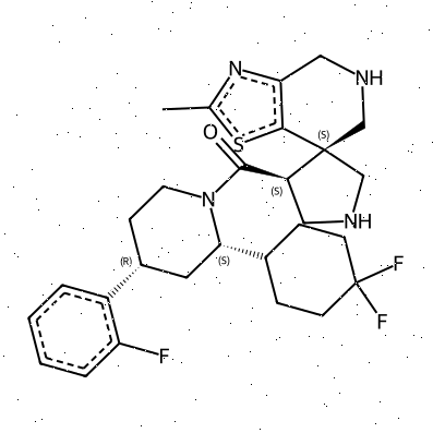 Cc1nc2c(s1)[C@]1(CNC2)CNC[C@H]1C(=O)N1CC[C@@H](c2ccccc2F)C[C@H]1C1CCC(F)(F)CC1